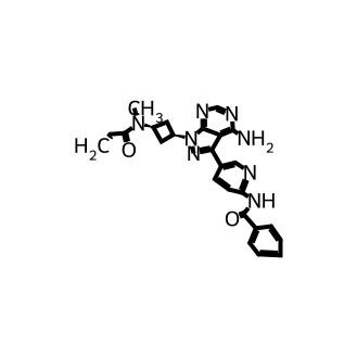 C=CC(=O)N(C)[C@H]1C[C@@H](n2nc(-c3ccc(NC(=O)c4ccccc4)nc3)c3c(N)ncnc32)C1